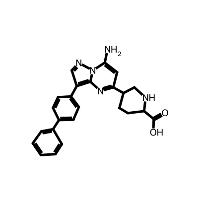 Nc1cc(C2CCC(C(=O)O)NC2)nc2c(-c3ccc(-c4ccccc4)cc3)cnn12